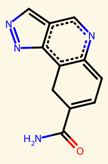 NC(=O)C1=CC=c2ncc3c(c2C1)N=NC=3